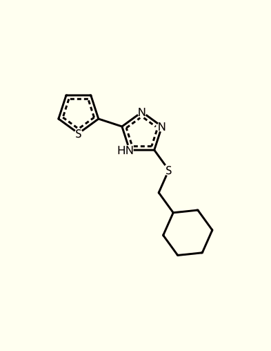 c1csc(-c2nnc(SCC3CCCCC3)[nH]2)c1